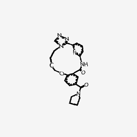 O=C1Nc2cccc(n2)-c2nncn2CCCCOc2ccc(C(=O)N3CCCC3)cc21